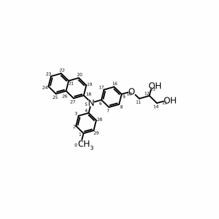 Cc1ccc(N(c2ccc(OCC(O)CO)cc2)c2ccc3ccccc3c2)cc1